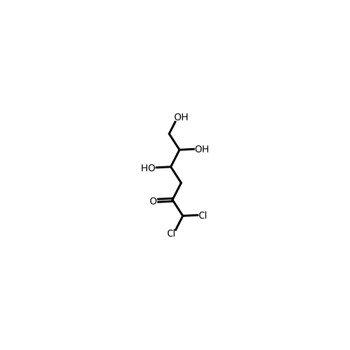 O=C(CC(O)C(O)CO)C(Cl)Cl